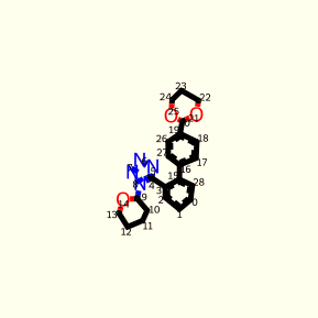 c1ccc(-c2nnnn2C2CCCCO2)c(-c2ccc(C3OCCCO3)cc2)c1